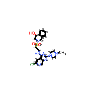 CN1CCN(c2nc(NCCS(=O)(=O)N(CCO)Cc3ccccc3)c3cc(Cl)ncc3n2)CC1